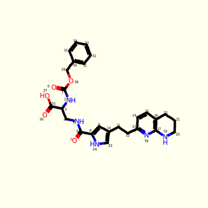 O=C(NC(CNC(=O)c1cc(CCc2ccc3c(n2)NCCC3)c[nH]1)C(=O)O)OCc1ccccc1